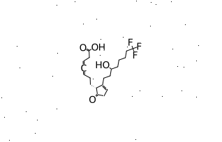 O=C(O)CC=C=CCC[C@H]1C(=O)CC=C1CCC(O)CCCCC(F)(F)F